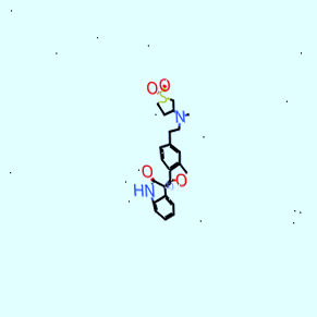 CN(CCc1ccc2c(c1)CO/C2=C1/C(=O)Nc2ccccc21)C1CCS(=O)(=O)C1